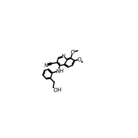 COc1ccc2c(Nc3ccccc3CCO)c(C#N)cnc2c1OC